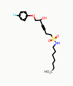 O=C(O)CCCCCCNS(=O)(=O)CCC#CC(O)COc1ccc(F)cc1